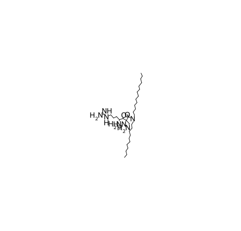 CCCCCCCCCCCCCCN(CCCCCCCCCCCC)C(=O)C(N)(CN)C(=O)C(N)CCCNC(=N)N